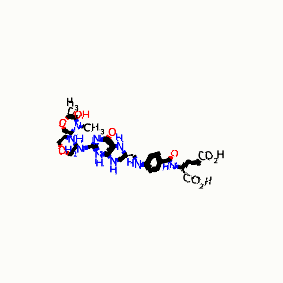 C1COCCN1.CN1CCOCC1.CO.Nc1nc(=O)c2c([nH]1)NC[C@@H](CNc1ccc(C(=O)N[C@@H](CCC(=O)O)C(=O)O)cc1)N2